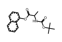 CC(NC(=O)OC(C)(C)C)C(=O)Oc1cccc2ccccc12